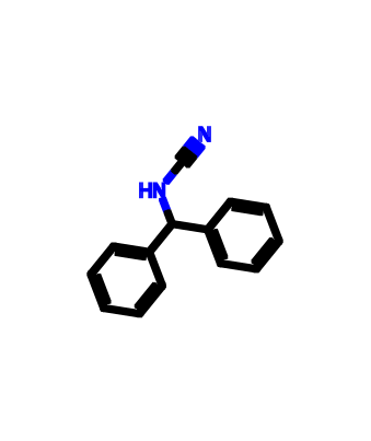 N#CNC(c1ccccc1)c1ccccc1